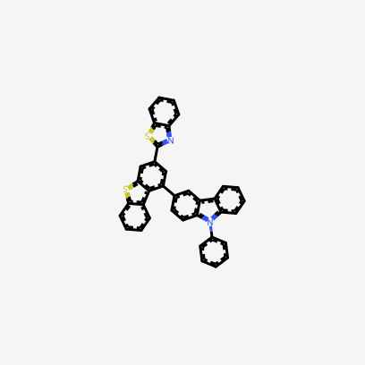 c1ccc(-n2c3ccccc3c3cc(-c4cc(-c5nc6ccccc6s5)cc5sc6ccccc6c45)ccc32)cc1